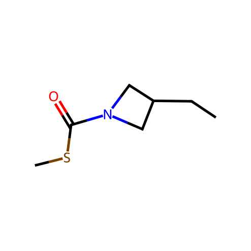 CCC1CN(C(=O)SC)C1